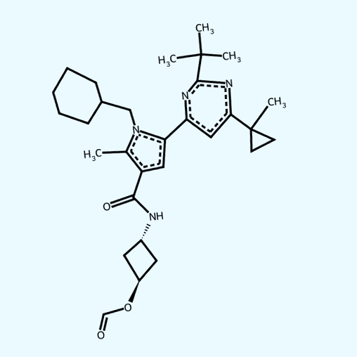 Cc1c(C(=O)N[C@H]2C[C@H](OC=O)C2)cc(-c2cc(C3(C)CC3)nc(C(C)(C)C)n2)n1CC1CCCCC1